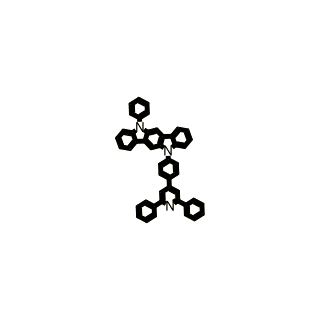 c1ccc(-c2cc(-c3ccc(-n4c5ccccc5c5cc6c(cc54)c4ccccc4n6-c4ccccc4)cc3)cc(-c3ccccc3)n2)cc1